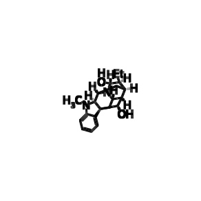 CC[C@H]1[C@@H]2C[C@H]3[C@@H]4N(C)c5ccccc5[C@@]45C[C@@H]([C@H]2[C@H]5O)N3[C@@H]1O